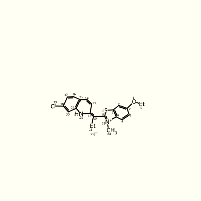 CCOc1ccc2c(c1)sc(C(CC)=C1C=Cc3ccc(Cl)cc3N1)[n+]2C.[I-]